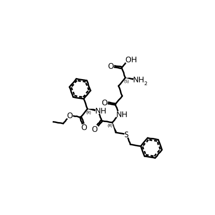 CCOC(=O)[C@H](NC(=O)[C@H](CSCc1ccccc1)NC(=O)CC[C@H](N)C(=O)O)c1ccccc1